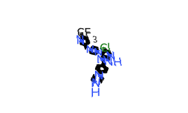 FC(F)(F)c1ccc(CN2CCN(c3c(Cl)cnc4[nH]c(-c5ccc(N6CCNCC6)cc5)nc34)CC2)cn1